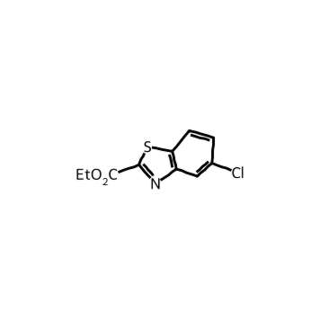 CCOC(=O)c1nc2cc(Cl)ccc2s1